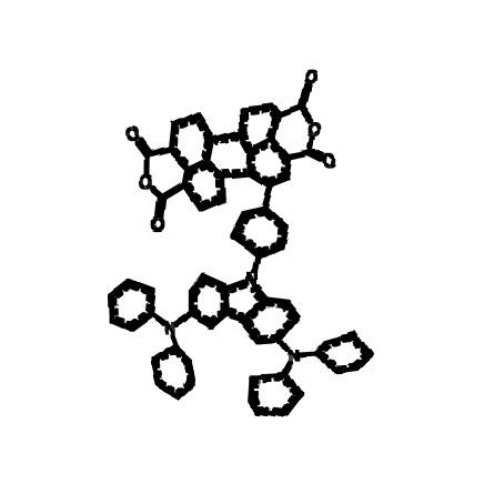 O=C1OC(=O)c2ccc3c4c(-c5ccc(-n6c7ccc(N(c8ccccc8)c8ccccc8)cc7c7cc(N(c8ccccc8)c8ccccc8)ccc76)cc5)cc5c6c(ccc(c7ccc1c2c73)c64)C(=O)OC5=O